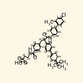 Cc1cc(Cl)ccc1-c1ccc(NC(=O)[C@H](Cc2ccc(C(=O)NCCS(=O)(=O)O)cc2)c2ccc(C3=CC[C@H](C(C)(C)C)CC3)cc2)cc1